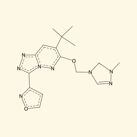 CN1CN(COc2nn3c(-c4ccon4)nnc3cc2C(C)(C)C)C=N1